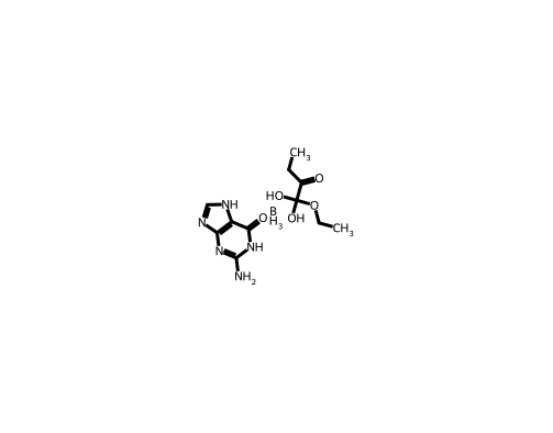 B.CCOC(O)(O)C(=O)CC.Nc1nc2nc[nH]c2c(=O)[nH]1